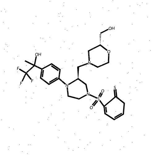 CC(O)(c1ccc(N2CCN(S(=O)(=O)C3=CC=CCC3=S)C[C@@H]2CN2CCO[C@@H](CO)C2)cc1)C(F)(F)F